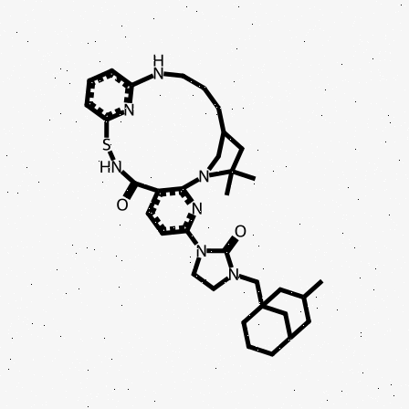 CC1CC2CCCC(CN3CCN(c4ccc5c(n4)N4CC(CCCNc6cccc(n6)SNC5=O)CC4(C)C)C3=O)(C1)C2